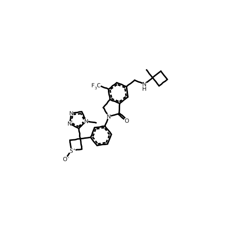 Cn1cnnc1C1(c2cccc(N3Cc4c(cc(CNC5(C)CCC5)cc4C(F)(F)F)C3=O)c2)C[S+]([O-])C1